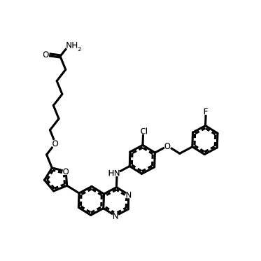 NC(=O)CCCCCCOCc1ccc(-c2ccc3ncnc(Nc4ccc(OCc5cccc(F)c5)c(Cl)c4)c3c2)o1